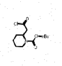 CCCCOC(=O)N1CCCCC1CC(=O)Cl